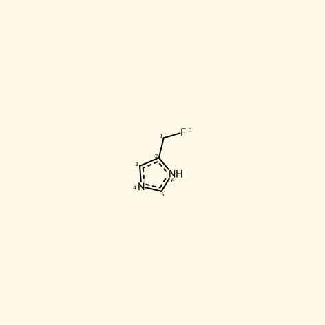 FCc1[c]n[c][nH]1